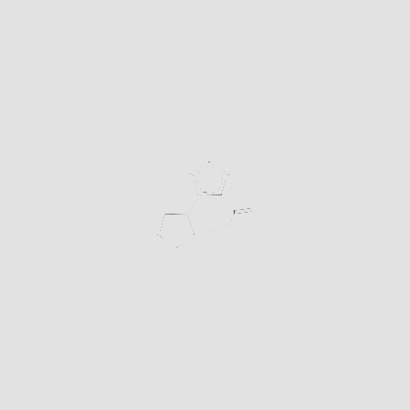 COC(=O)c1ncnn1C1CCNC1